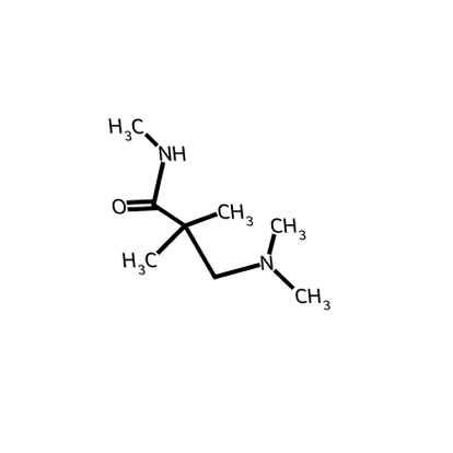 CNC(=O)C(C)(C)CN(C)C